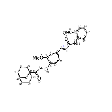 COc1cc(/C=C/C(=O)Nc2ccccc2C=O)ccc1OCC(=O)C12CCCC(CCC1)C2